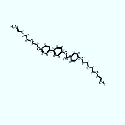 C=CCOCCOCCOc1ccc(C(=O)Oc2ccc(-c3ccc(OCCOCCOCC=C)cc3)cc2)cc1